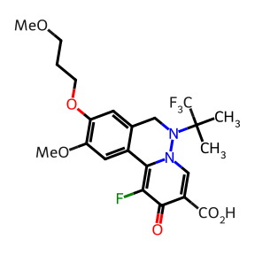 COCCCOc1cc2c(cc1OC)-c1c(F)c(=O)c(C(=O)O)cn1N(C(C)(C)C(F)(F)F)C2